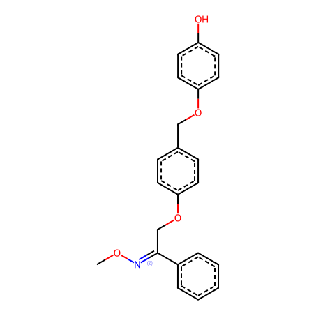 CO/N=C(\COc1ccc(COc2ccc(O)cc2)cc1)c1ccccc1